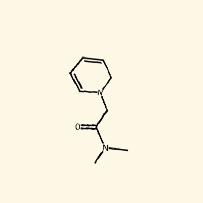 CN(C)C(=O)CN1C=CC=CC1